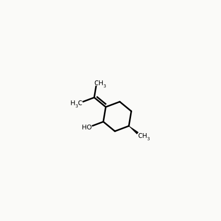 CC(C)=C1CC[C@@H](C)CC1O